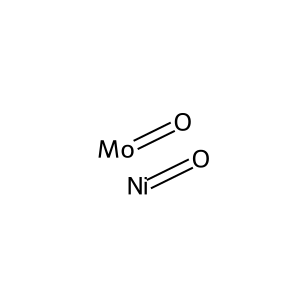 [O]=[Mo].[O]=[Ni]